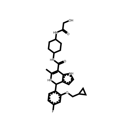 CC1=C(C(=O)NC2CCC(NC(=O)CO)CC2)c2[nH]ccc2C(c2ccc(F)cc2OCC2CC2)N1